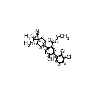 CCOC(=O)c1nc(-c2cccc(Cl)c2Cl)c(C)nc1N1CCC(C#N)(C(C)N)CC1